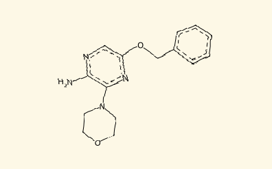 Nc1ncc(OCc2ccccc2)nc1N1CCOCC1